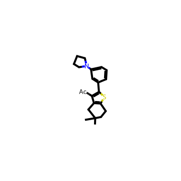 CC(=O)c1c(-c2cccc(N3CCCC3)c2)sc2c1CC(C)(C)CC2